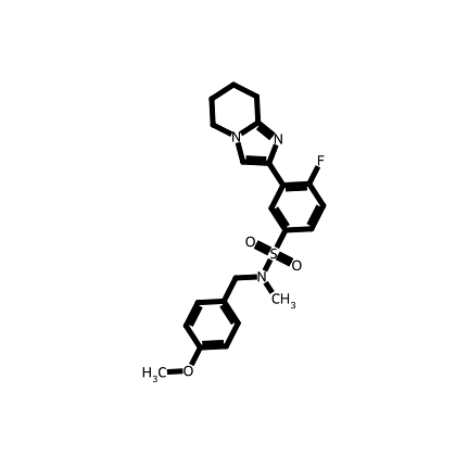 COc1ccc(CN(C)S(=O)(=O)c2ccc(F)c(-c3cn4c(n3)CCCC4)c2)cc1